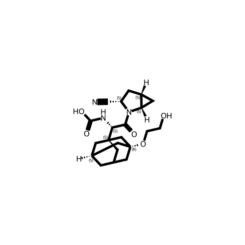 N#C[C@@H]1C[C@@H]2C[C@@H]2N1C(=O)[C@@H](NC(=O)O)[C@]12CC3C[C@H](C[C@](OCCO)(C3)C1)C2